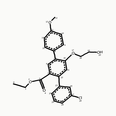 CCOC(=O)c1cc(-c2ccc(OC)cc2)c(OCCO)cc1-c1cccc(Cl)c1